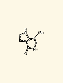 CC(C)(C)c1c[nH]c(=O)c2cc[nH]c12